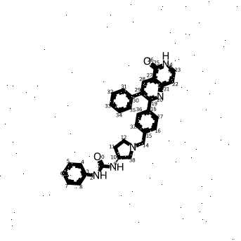 O=C(Nc1ccccc1)N[C@@H]1CCN(Cc2ccc(-c3nc4cc[nH]c(=O)c4cc3-c3ccccc3)cc2)C1